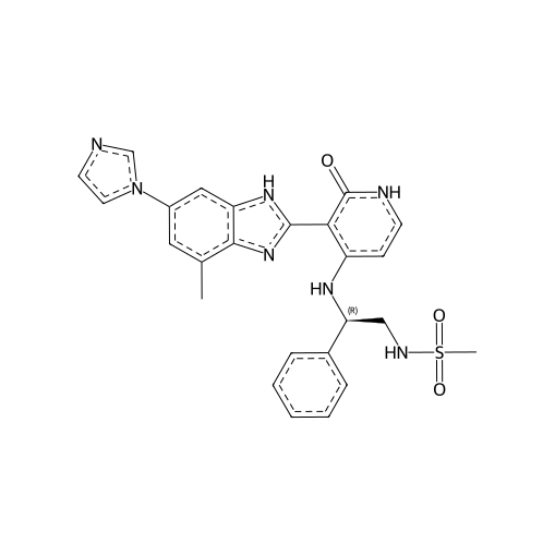 Cc1cc(-n2ccnc2)cc2[nH]c(-c3c(N[C@@H](CNS(C)(=O)=O)c4ccccc4)cc[nH]c3=O)nc12